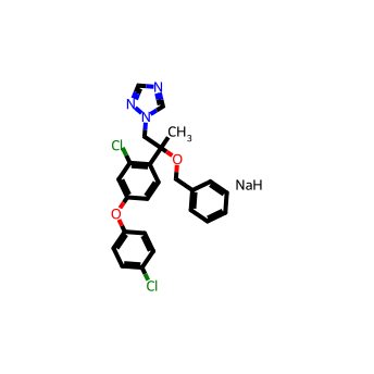 CC(Cn1cncn1)(OCc1ccccc1)c1ccc(Oc2ccc(Cl)cc2)cc1Cl.[NaH]